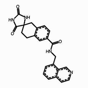 O=C1NC(=O)C2(CCc3cc(C(=O)NCc4cccc5ccncc45)ccc3C2)N1